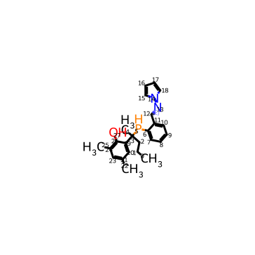 CCCC(C)(Pc1ccccc1/C=N/n1cccc1)c1cc(C)cc(C)c1O